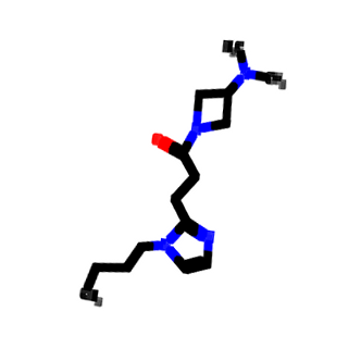 CCCCn1ccnc1CCC(=O)N1CC(N(C)C)C1